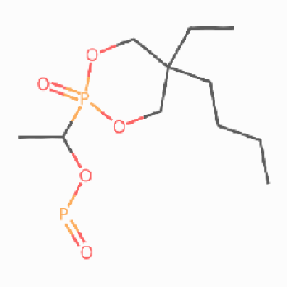 CCCCC1(CC)COP(=O)(C(C)OP=O)OC1